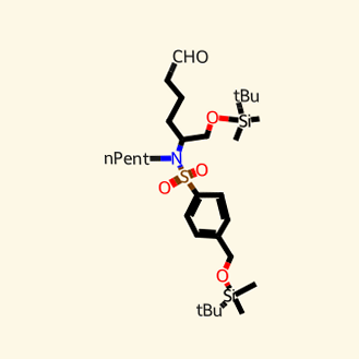 CCCCCN(C(CCCC=O)CO[Si](C)(C)C(C)(C)C)S(=O)(=O)c1ccc(CO[Si](C)(C)C(C)(C)C)cc1